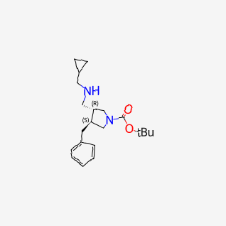 CC(C)(C)OC(=O)N1C[C@@H](CNCC2CC2)[C@H](Cc2ccccc2)C1